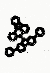 CC12c3ccccc3B(n3c4cc(-c5ccccc5)ccc4c4ccc(-c5ccccc5)cc43)c3cccc(c31)-c1ccccc12